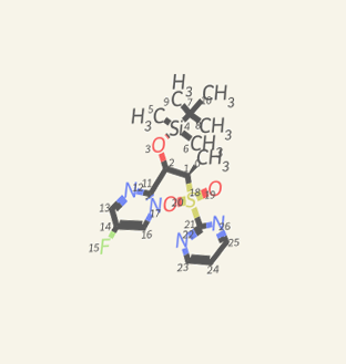 C[C@H](C(O[Si](C)(C)C(C)(C)C)c1ncc(F)cn1)S(=O)(=O)c1ncccn1